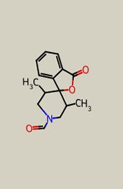 CC1CN(C=O)CC(C)C12OC(=O)c1ccccc12